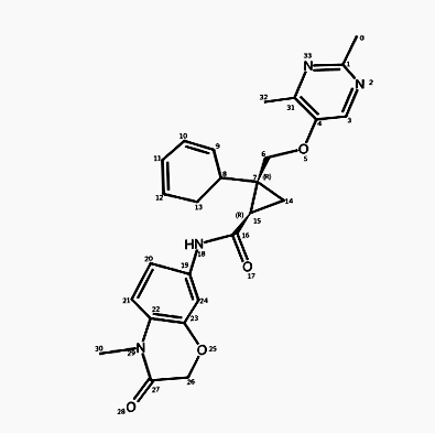 Cc1ncc(OC[C@@]2(C3C=CC=CC3)C[C@H]2C(=O)Nc2ccc3c(c2)OCC(=O)N3C)c(C)n1